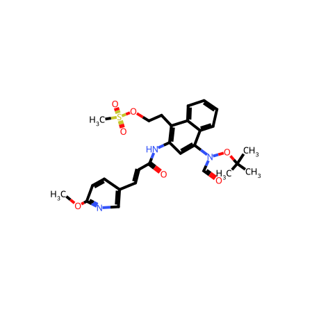 COc1ccc(/C=C/C(=O)Nc2cc(N(C=O)OC(C)(C)C)c3ccccc3c2CCOS(C)(=O)=O)cn1